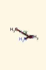 CCCCCCCC/C=C/CCCCCCCCC(CCCCN)c1cc[n+](C)cc1.[Cl-]